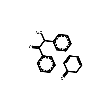 CC(=O)OC(C(=O)c1ccccc1)c1ccccc1.O=C1C=CC=CC1